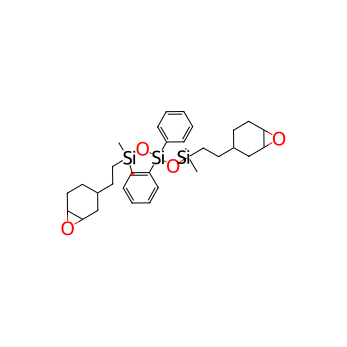 C[Si](C)(CCC1CCC2OC2C1)O[Si](O[Si](C)(C)CCC1CCC2OC2C1)(c1ccccc1)c1ccccc1